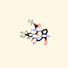 CC(C)(C)[C@H](NC(=O)C(F)(F)F)C(=O)N1C[C@H]2[C@@H]([C@H]1C(=O)N[C@@H](C#N)Cc1nc3ccccc3[nH]c1=O)C2(C)C